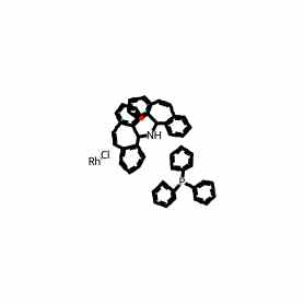 C1=Cc2ccccc2C(NC2c3ccccc3C=Cc3ccccc32)c2ccccc21.[Cl][Rh].c1ccc(P(c2ccccc2)c2ccccc2)cc1